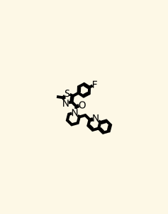 Cc1nc(C(=O)N2CCCCC2Cc2ccc3ccccc3n2)c(-c2ccc(F)cc2)s1